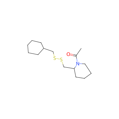 CC(=O)N1CCCCC1CSSCC1CCCCC1